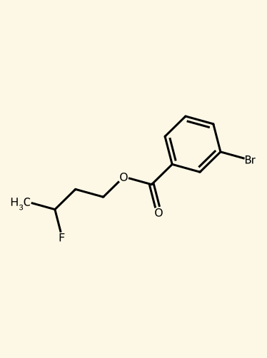 CC(F)CCOC(=O)c1cccc(Br)c1